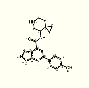 O=C(NC1CNCCC12CC2)c1cc(-c2ccc(O)cc2)nc2[nH]ncc12